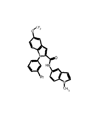 CC(C)c1cccc(-n2c(C(=O)Nc3ccc4c(ccn4C)c3)cc3cc(OC(F)(F)F)ccc32)c1